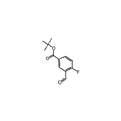 CC(C)(C)OC(=O)c1ccc(F)c(C=O)c1